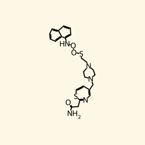 NC(=O)CC1=NC=C(CN2CCN(CCSOONc3cccc4ccccc34)CC2)C=CS1